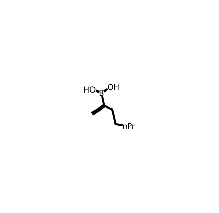 C=C(CCCCC)B(O)O